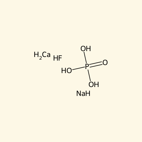 F.O=P(O)(O)O.[CaH2].[NaH]